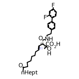 CCCCCCCC(=O)CCCCCC/C=C/[C@H](C(=O)NCCc1ccc(-c2ccc(F)cc2F)cc1)[C@](C)(O)C(=O)O